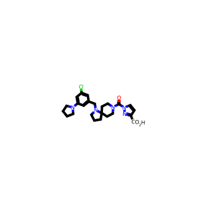 O=C(O)c1ccn(C(=O)N2CCC3(CCCN3Cc3cc(Cl)cc(N4CCCC4)c3)CC2)n1